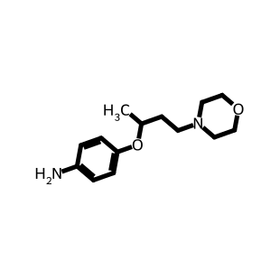 CC(CCN1CCOCC1)Oc1ccc(N)cc1